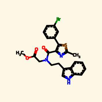 COC(=O)CN(CCc1c[nH]c2ccccc12)C(=O)c1nc(C)sc1-c1cccc(Br)c1